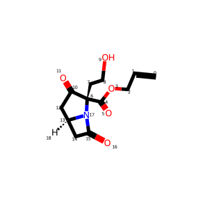 C=CCOC(=O)[C@@]1(CCO)C(=O)C[C@@H]2CC(=O)N21